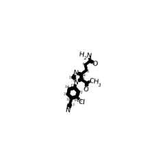 CC(=O)c1c(CCC(N)=O)ncn1-c1ccc(C#N)c(Cl)c1